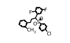 Cc1ccccc1CCC(c1cc(F)ccc1F)S(=O)(=O)c1ccc(Cl)cc1